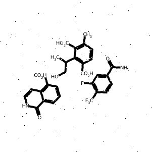 Cc1ccc(C(=O)O)c(C(C)CO)c1C(=O)O.NC(=O)c1ccc(C(F)(F)F)c(F)c1.O=C(O)c1cccc2c(=O)[nH]ccc12